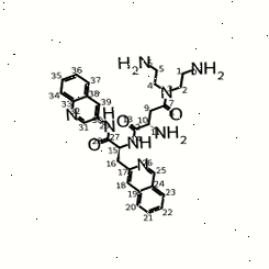 NCCN(CCN)C(=O)C[C@H](N)C(=O)N[C@@H](Cc1cc2ccccc2cn1)C(=O)Nc1cnc2ccccc2c1